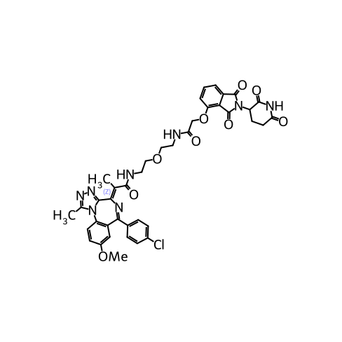 COc1ccc2c(c1)C(c1ccc(Cl)cc1)=N/C(=C(/C)C(=O)NCCOCCNC(=O)COc1cccc3c1C(=O)N(C1CCC(=O)NC1=O)C3=O)c1nnc(C)n1-2